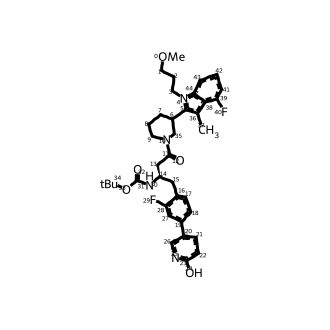 COCCCn1c(C2CCCN(C(=O)C[C@@H](Cc3ccc(-c4ccc(O)nc4)cc3F)NC(=O)OC(C)(C)C)C2)c(C)c2c(F)cccc21